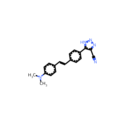 CN(C)c1ccc(/C=C/c2ccc(-c3[nH]nnc3C#N)cc2)cc1